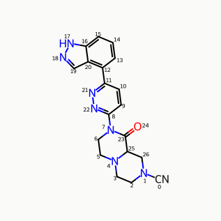 N#CN1CCN2CCN(c3ccc(-c4cccc5[nH]ncc45)nn3)C(=O)C2C1